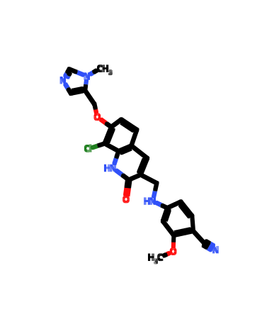 COc1cc(NCc2cc3ccc(OCc4cncn4C)c(Cl)c3[nH]c2=O)ccc1C#N